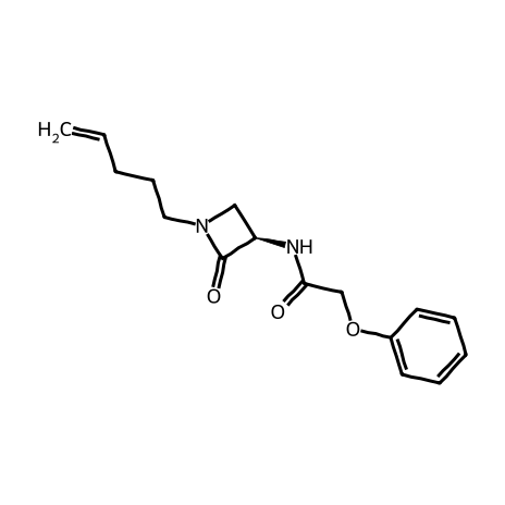 C=CCCCN1C[C@@H](NC(=O)COc2ccccc2)C1=O